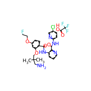 CC(C)(CN)COc1cc(OCCF)ccc1C(=O)Nc1cccnc1C(=O)Nc1ccc(Cl)cn1.O=C(O)C(F)(F)F